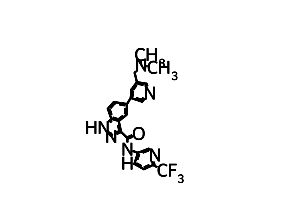 CN(C)Cc1cncc(-c2ccc3[nH]nc(C(=O)Nc4ccc(C(F)(F)F)nc4)c3c2)c1